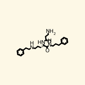 NCCC(=O)N[C@@H](CCCNCCc1ccccc1)C(=O)NCCCc1ccccc1